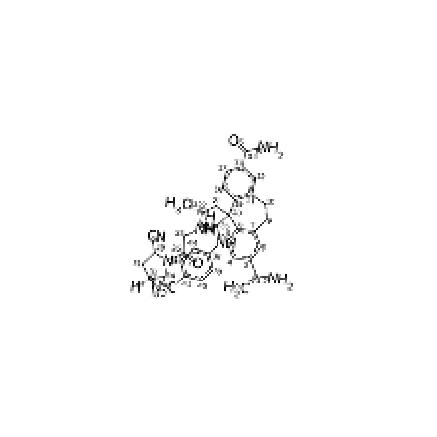 C=C(N)c1ccc2c(c1)CCc1cc(C(N)=O)ccc1C2(C[C@@H](C)NCC(=O)N1C(C#N)C[C@@H]2CC21)C(=N)Nc1ccc(C)cc1